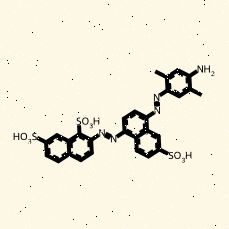 Cc1cc(N=Nc2ccc(N=Nc3ccc4ccc(S(=O)(=O)O)cc4c3S(=O)(=O)O)c3ccc(S(=O)(=O)O)cc23)c(C)cc1N